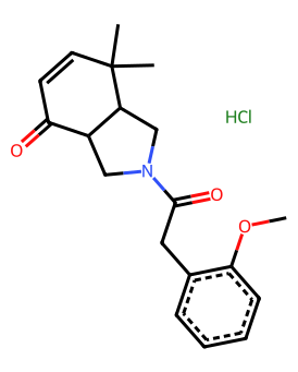 COc1ccccc1CC(=O)N1CC2C(=O)C=CC(C)(C)C2C1.Cl